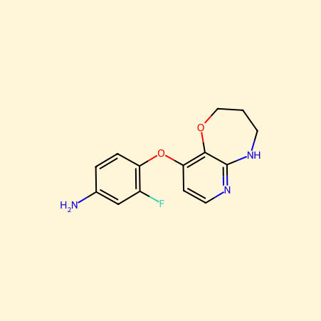 Nc1ccc(Oc2ccnc3c2OCCCN3)c(F)c1